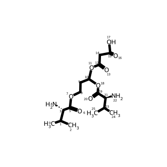 CC(C)[C@H](N)C(=O)OCCC(OC(=O)CC(=O)O)OC(=O)[C@@H](N)C(C)C